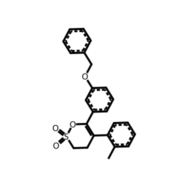 Cc1ccccc1C1=C(c2cccc(OCc3ccccc3)c2)OS(=O)(=O)CC1